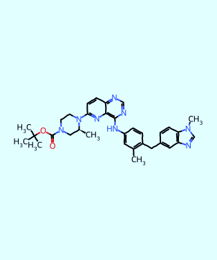 Cc1cc(Nc2ncnc3ccc(N4CCN(C(=O)OC(C)(C)C)C[C@@H]4C)nc23)ccc1Cc1ccc2c(c1)ncn2C